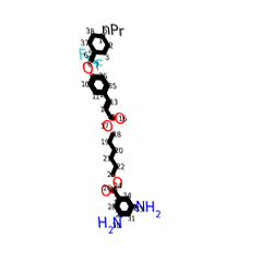 CCCC1CCC(C(F)(F)Oc2ccc(/C=C/C(=O)OCCCCCCOC(=O)c3cc(N)cc(N)c3)cc2)CC1